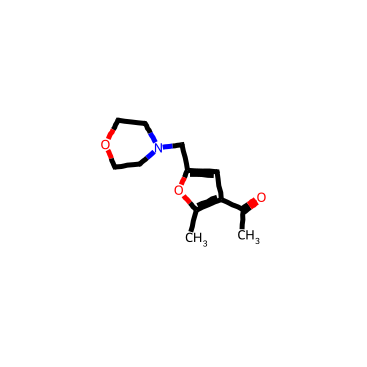 CC(=O)c1cc(CN2CCOCC2)oc1C